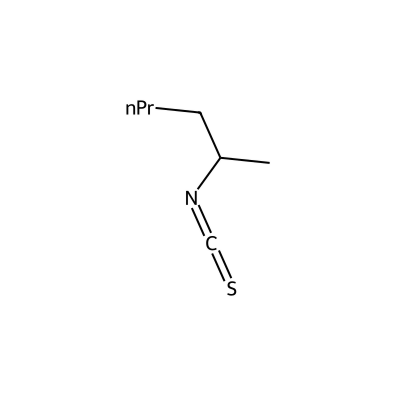 CCCCC(C)N=C=S